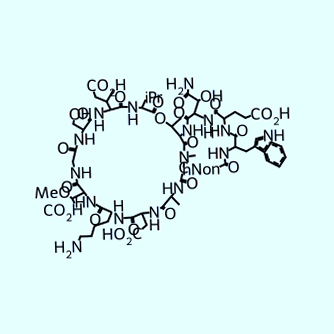 CCCCCCCCCC(=O)NC(Cc1c[nH]c2ccccc12)C(=O)NC(CCC(=O)O)C(=O)NC(C(=O)NC1C(=O)N(C)CC(=O)NC(C)C(=O)NC(CC(=O)O)C(=O)NC(CCCCN)C(=O)NC(C(OC)C(=O)O)C(=O)NCC(=O)NC(CO)C(=O)NC(C(C)CC(=O)O)C(=O)NC(C(C)C)C(=O)OC1C)C(O)C(N)=O